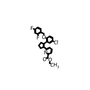 CCOC(=O)c1cccc(C2=C(c3cc(Cl)ccc3OCc3ccc(F)cc3F)CCC2)n1